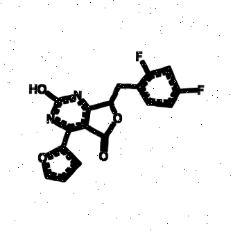 O=C1OC(Cc2ccc(F)cc2F)c2nc(O)nc(-c3ccco3)c21